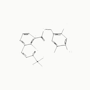 Cc1cc([C@@H](C)NC(=O)c2cccc3ccc(C(C)(C)C)nc23)c(Cl)cc1O